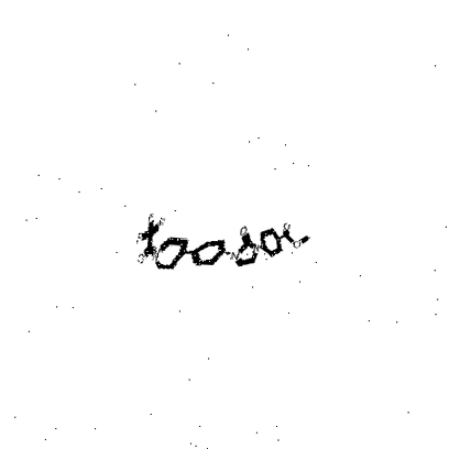 COC(=O)[C@H]1CC[C@H](N2CCN([C@H]3CC[C@H](C4CCN(C(=O)C(F)(F)F)CC4)CC3)C2=O)CC1